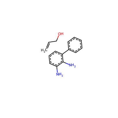 C=CCO.Nc1cccc(-c2ccccc2)c1N